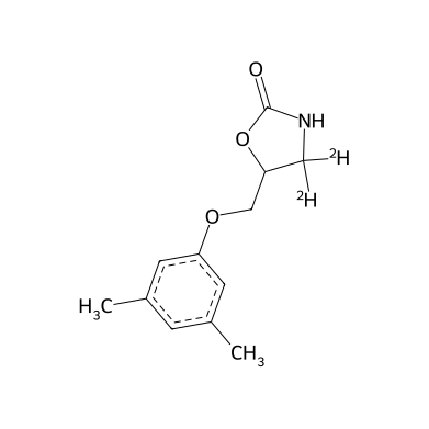 [2H]C1([2H])NC(=O)OC1COc1cc(C)cc(C)c1